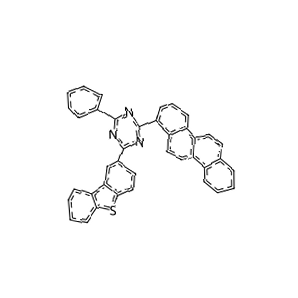 c1ccc(-c2nc(-c3ccc4sc5ccccc5c4c3)nc(-c3cccc4c3ccc3c5ccccc5ccc43)n2)cc1